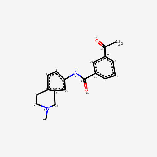 CN1CCc2ccc(NC(=O)c3cccc(C(=O)C(F)(F)F)c3)cc2C1